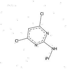 CC(C)Nc1nc(Cl)cc(Cl)n1